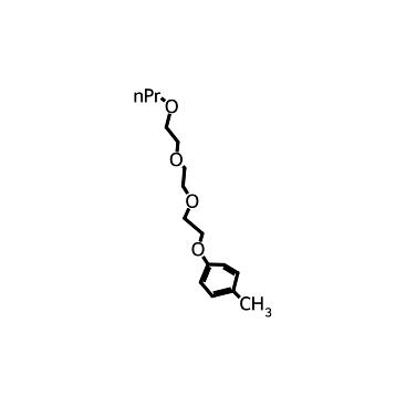 CCCOCCOCCOCCOc1ccc(C)cc1